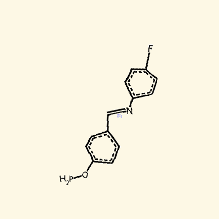 Fc1ccc(/N=C/c2ccc(OP)cc2)cc1